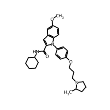 COc1ccc2c(c1)cc(C(=O)NC1CCCCC1)n2-c1ccc(OCCCN2CCCC2C)cc1